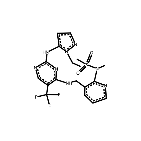 CCn1nccc1Nc1ncc(C(F)(F)F)c(NCc2cccnc2N(C)S(C)(=O)=O)n1